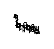 O=S(=O)(Nc1cscn1)c1cc(Cl)c(NCc2cc(CCN3CCC3)ccc2F)cc1F